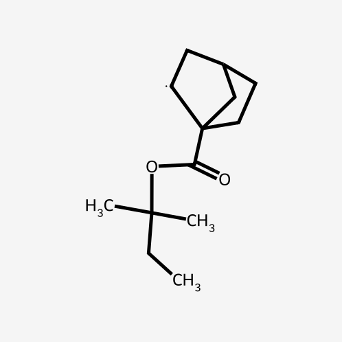 CCC(C)(C)OC(=O)C12[CH]CC(CC1)C2